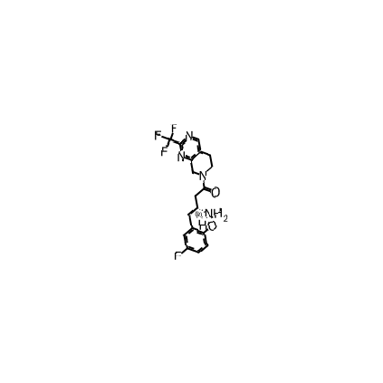 N[C@@H](CC(=O)N1CCc2cnc(C(F)(F)F)nc2C1)Cc1cc(F)ccc1O